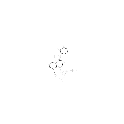 CCc1cccc2c(Nc3cccc(C(F)(F)F)c3F)ncc(C3CCCCN3C=O)c12